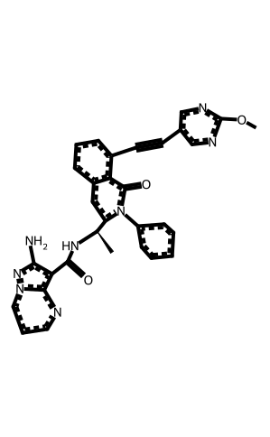 COc1ncc(C#Cc2cccc3cc([C@@H](C)NC(=O)c4c(N)nn5cccnc45)n(-c4ccccc4)c(=O)c23)cn1